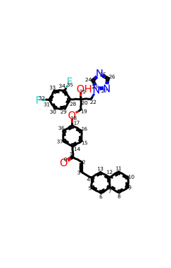 O=C(C=Cc1ccc2ccccc2c1)c1ccc(OCC(O)(Cn2cncn2)c2ccc(F)cc2F)cc1